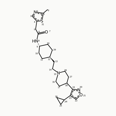 Cc1ncc(CC(=O)N[C@H]2CC[C@H](CCN3CCC(c4nocc4C4CC4)CC3)CC2)s1